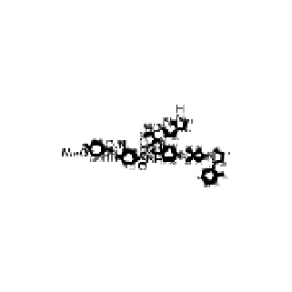 CO[C@]1(C)CC[C@@H](CNc2ccc(S(=O)(=O)NC(=O)c3ccc(N4CC5(CC(N6CCC[C@H]6c6ccccc6C)C5)C4)cc3N3c4cc5cc[nH]c5nc4O[C@H]4COC[C@@H]43)cc2[N+](=O)[O-])CC1